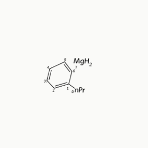 CCCc1c[c]ccc1.[MgH2]